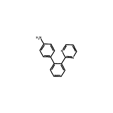 Nc1ccc(-c2ccccc2-c2ncccn2)cc1